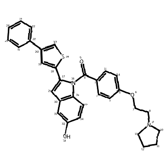 O=C(c1ccc(OCCN2CCCC2)cc1)n1c(-c2cc(-c3ccccc3)cs2)cc2cc(O)ccc21